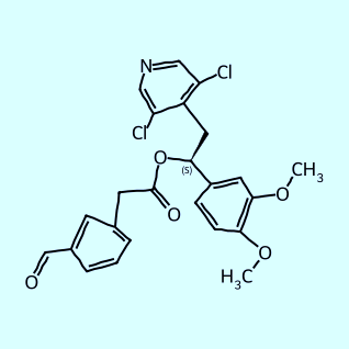 COc1ccc([C@H](Cc2c(Cl)cncc2Cl)OC(=O)Cc2cccc(C=O)c2)cc1OC